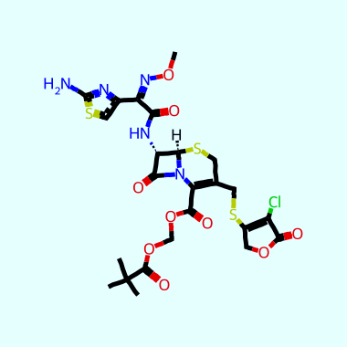 CO/N=C(\C(=O)N[C@H]1C(=O)N2C(C(=O)OCOC(=O)C(C)(C)C)=C(CSC3=C(Cl)C(=O)OC3)CS[C@H]12)c1csc(N)n1